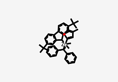 CC1=CC[C]([Zr]([CH3])([CH3])(=[C](c2ccccc2)c2ccccc2)[CH]2c3cc(C(C)(C)C)ccc3-c3ccc(C(C)(C)C)cc32)=C1